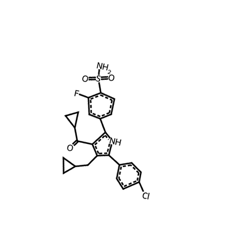 NS(=O)(=O)c1ccc(-c2[nH]c(-c3ccc(Cl)cc3)c(CC3CC3)c2C(=O)C2CC2)cc1F